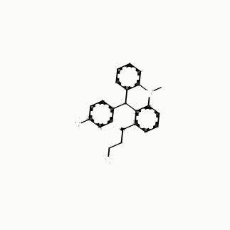 CN1c2ccccc2C(c2ccc(N)cc2)c2c(C(=O)CCN)cccc21